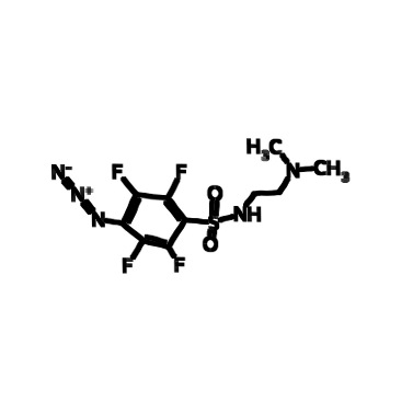 CN(C)CCNS(=O)(=O)c1c(F)c(F)c(N=[N+]=[N-])c(F)c1F